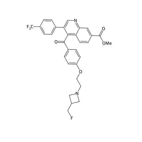 COC(=O)c1ccc2c(C(=O)c3ccc(OCCN4CC(CF)C4)cc3)c(-c3ccc(C(F)(F)F)cc3)cnc2c1